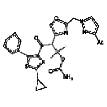 CC(=O)c1ccn(Cc2nc(C(C(=O)c3nc(C4CC4)sc3-c3ccccc3)C(C)(C)OC(N)=O)co2)n1